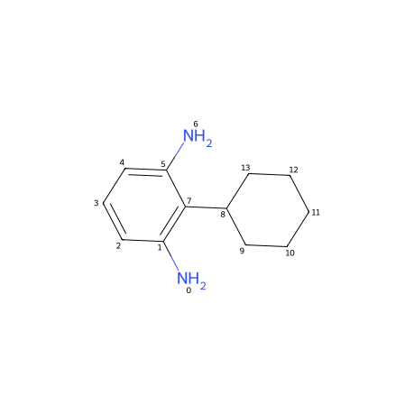 Nc1cccc(N)c1C1CCCCC1